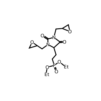 CCOP(=O)(CCC1C(=O)N(CC2CO2)C(=O)N1CC1CO1)OCC